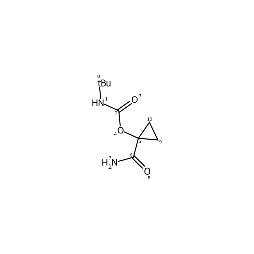 CC(C)(C)NC(=O)OC1(C(N)=O)CC1